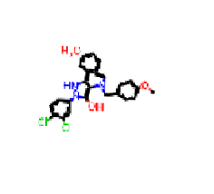 COc1ccc(CN2C=c3ccccc3=C3NN(c4ccc(Cl)c(Cl)c4)C(O)=C32)cc1.O